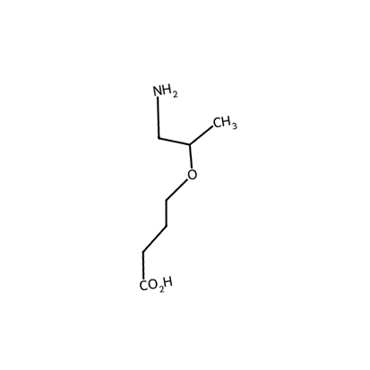 CC(CN)OCCCC(=O)O